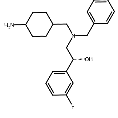 NC1CCC(CN(Cc2ccccc2)C[C@H](O)c2cccc(F)c2)CC1